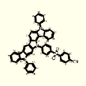 N#Cc1ccc(S(=O)(=O)c2ccc(-n3c4cc5c(cc4c4ccc6c(c7ccccc7n6-c6ccccc6)c43)c3ccccc3n5-c3ccccc3)cc2)cc1